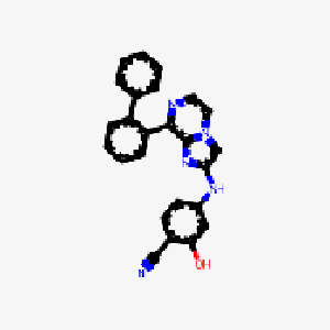 N#Cc1ccc(Nc2cn3ccnc(-c4ccccc4-c4ccccc4)c3n2)cc1O